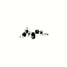 COCC(=O)Nc1cc(Oc2ccc(NC(=O)Nc3cc(O)nn3-c3ccc(C)cc3)c3ncccc23)ccn1